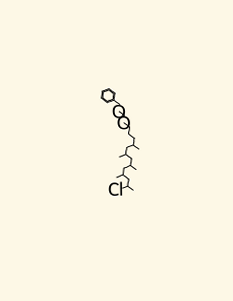 CC(Cl)CC(C)CC(C)CC(C)CC(C)CCCOCOCc1ccccc1